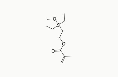 C=C(C)C(=O)OCC[Si](CC)(CC)OC